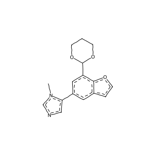 Cn1cncc1-c1cc(C2OCCCO2)c2occc2c1